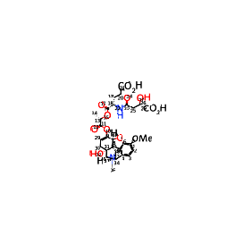 COc1ccc2c3c1O[C@@H]1C(OC(=O)[C@H](C)OC(=O)[C@H](CCC(=O)O)NC(=O)C[C@H](O)C(=O)O)=CC[C@]4(O)[C@H](C2)N(C)CC[C@@]314